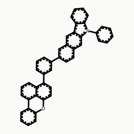 c1ccc(-n2c3ccccc3c3cc4cc(-c5cccc(-c6ccc7c8c(cccc68)-c6ccccc6O7)c5)ccc4cc32)cc1